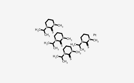 CC(C)N1CCCN(C)C1=S.CC(C)N1CCCN(C)C1=S.CC(C)N1CCCN(C)C1=S.CC(C)N1CCCN(C)C1=S.[Pt]